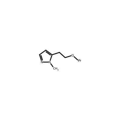 CC(C)OCCc1ccnn1C